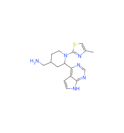 Cc1csc(N2CCC(CN)CC2c2ncnc3[nH]ccc23)n1